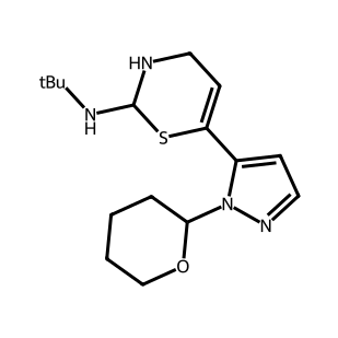 CC(C)(C)NC1NCC=C(c2ccnn2C2CCCCO2)S1